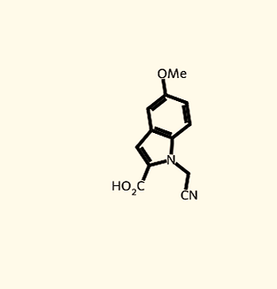 COc1ccc2c(c1)cc(C(=O)O)n2CC#N